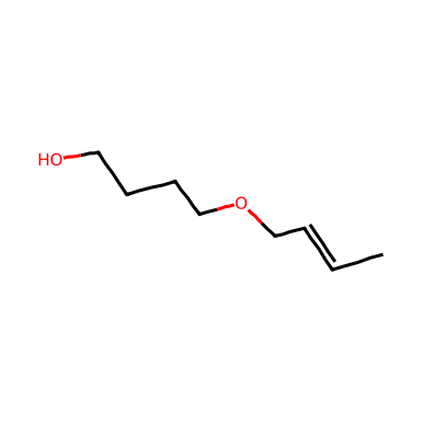 CC=CCOCCCCO